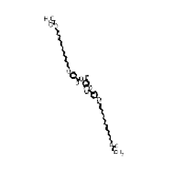 C=CC(=O)OCCCCCCCCCCCCCCCCOc1ccc(C(=O)Oc2cc(F)c(OC(=O)c3ccc(OCCCCCCCCCCCCCCCCOC(=O)C=C)cc3)cc2F)cc1